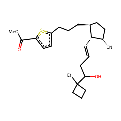 CCC1(C(O)C/C=C/[C@@H]2[C@@H](CCCc3ccc(C(=O)OC)s3)CC[C@@H]2C#N)CCC1